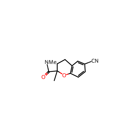 CNC(=O)C1(C)CCc2cc(C#N)ccc2O1